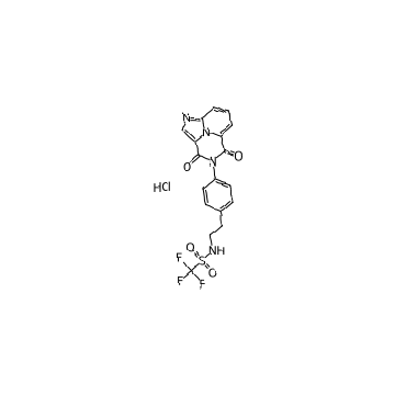 Cl.O=c1c2cccc3ncc(c(=O)n1-c1ccc(CCNS(=O)(=O)C(F)(F)F)cc1)n32